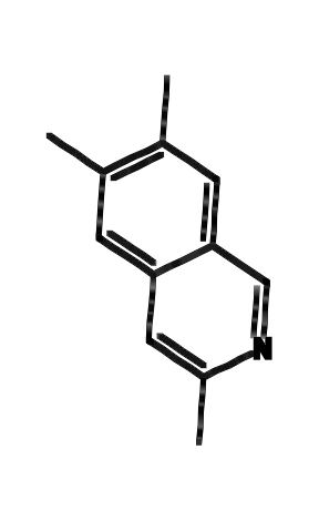 Cc1cc2cc(C)c(C)cc2cn1